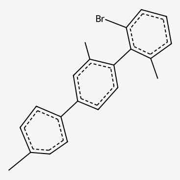 Cc1ccc(-c2ccc(-c3c(C)cccc3Br)c(C)c2)cc1